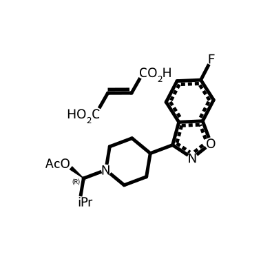 CC(=O)O[C@H](C(C)C)N1CCC(c2noc3cc(F)ccc23)CC1.O=C(O)C=CC(=O)O